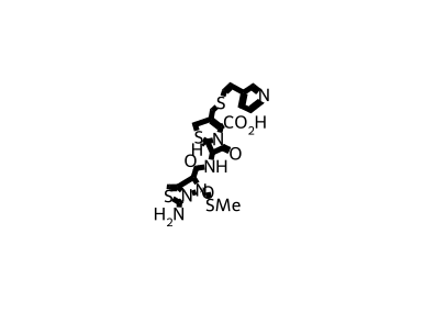 CSON1C(C(=O)NC2C(=O)N3C(C(=O)O)=C(CS/C=C\c4cccnc4)CS[C@@H]23)C2=CSC(N)N21